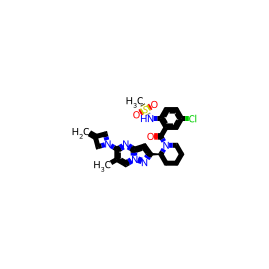 C=C1CN(c2nc3cc([C@@H]4CCCCN4C(=O)c4cc(Cl)ccc4NS(C)(=O)=O)nn3cc2C)C1